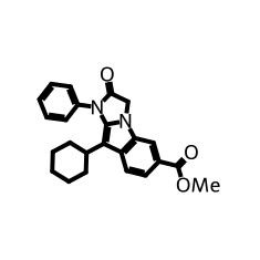 COC(=O)c1ccc2c(C3CCCCC3)c3n(c2c1)CC(=O)N3c1ccccc1